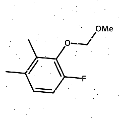 COCOc1c(F)ccc(C)c1C